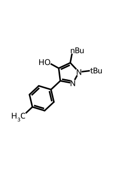 CCCCc1c(O)c(-c2ccc(C)cc2)nn1C(C)(C)C